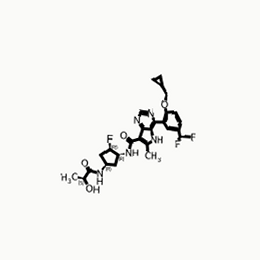 Cc1[nH]c2c(-c3cc(C(F)F)ccc3OCC3CC3)ncnc2c1C(=O)N[C@@H]1C[C@@H](NC(=O)[C@H](C)O)C[C@H]1F